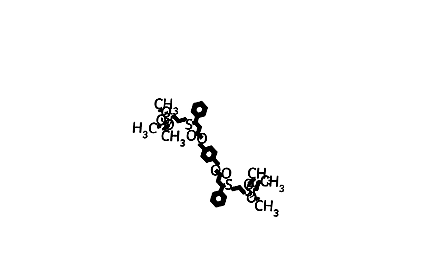 CCC[Si](CCCSC(CC(=O)OCc1ccc(COC(=O)CC(SCCC[Si](OCC)(OCC)OCC)c2ccccc2)cc1)c1ccccc1)(OCC)OCC